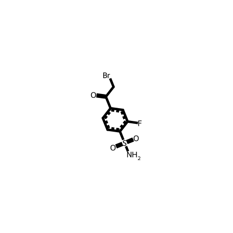 NS(=O)(=O)c1ccc(C(=O)CBr)cc1F